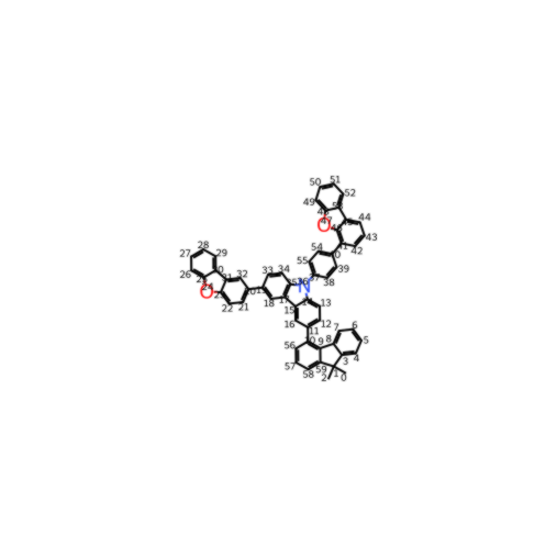 CC1(C)c2ccccc2-c2c(-c3ccc4c(c3)c3cc(-c5ccc6oc7ccccc7c6c5)ccc3n4-c3ccc(-c4cccc5c4oc4ccccc45)cc3)cccc21